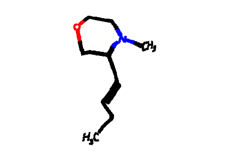 CC/C=C/C1COCCN1C